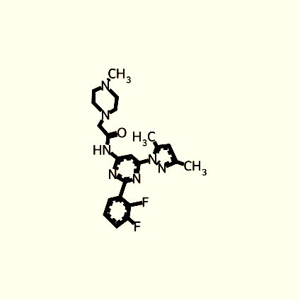 Cc1cc(C)n(-c2cc(NC(=O)CN3CCN(C)CC3)nc(-c3cccc(F)c3F)n2)n1